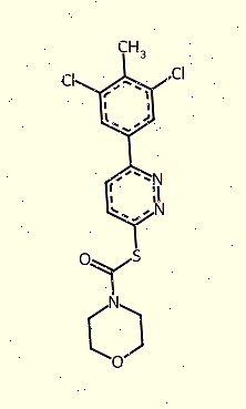 Cc1c(Cl)cc(-c2ccc(SC(=O)N3CCOCC3)nn2)cc1Cl